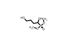 COP(=O)(OC)C(O)CCCO